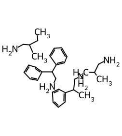 CC(C)CN.CC(CN)c1ccccc1.CCC(C)CN.NCC(c1ccccc1)c1ccccc1